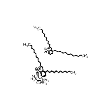 CCCCCCCCCCCCc1cccc(S(=O)(=O)[O-])c1CCCCCCCCCCCC.CCCCCCCCCCCCc1cccc(S(=O)(=O)[O-])c1CCCCCCCCCCCC.NCCN.NCCN.[Cu+2]